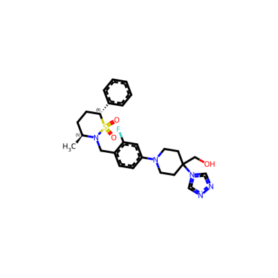 C[C@H]1CC[C@H](c2ccccc2)S(=O)(=O)N1Cc1ccc(N2CCC(CO)(n3cnnc3)CC2)cc1F